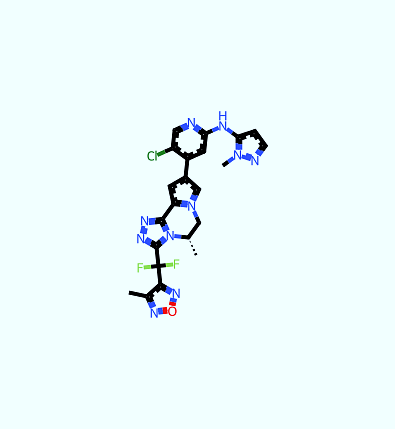 Cc1nonc1C(F)(F)c1nnc2n1[C@@H](C)Cn1cc(-c3cc(Nc4ccnn4C)ncc3Cl)cc1-2